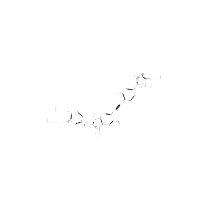 Cc1ccc(Oc2nc3cc(C#Cc4ccc(-c5nnc(O)[nH]5)cc4)c(Cl)cc3[nH]2)cc1C(=O)O